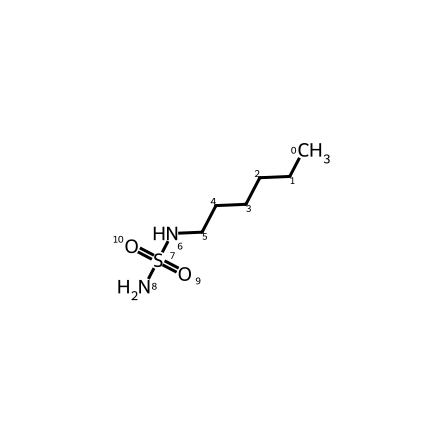 CCCCCCNS(N)(=O)=O